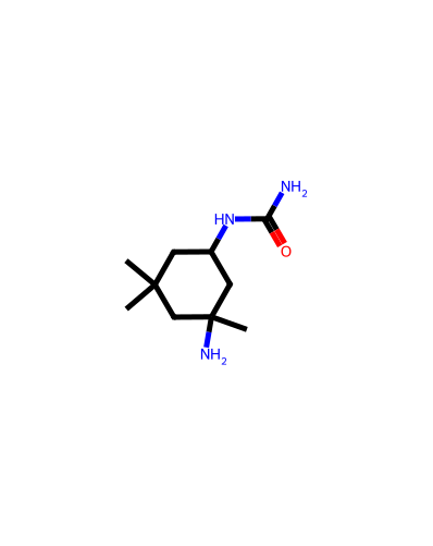 CC1(C)CC(NC(N)=O)CC(C)(N)C1